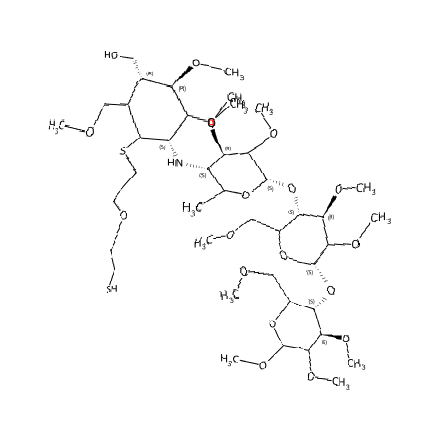 COCC1C(SCCOCCS)[C@@H](N[C@H]2C(C)O[C@@H](O[C@H]3C(COC)O[C@@H](O[C@H]4C(COC)OC(OC)C(OC)[C@@H]4OC)C(OC)[C@@H]3OC)C(OC)[C@@H]2OC)C(OC)[C@H](OC)[C@H]1CO